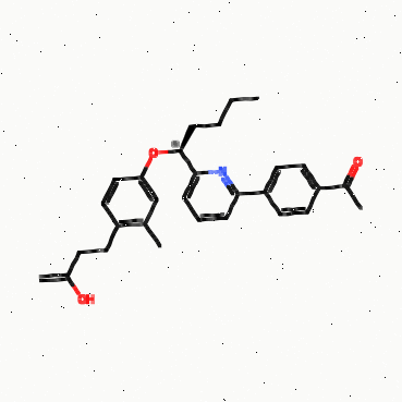 C=C(O)CCc1ccc(O[C@@H](CCCC)c2cccc(-c3ccc(C(C)=O)cc3)n2)cc1C